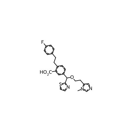 Cn1cncc1CCOC(c1ccc(CCc2ccc(F)cc2)c(C(=O)O)c1)c1nccs1